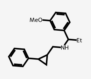 CCC(NCC1CC1c1ccccc1)c1cccc(OC)c1